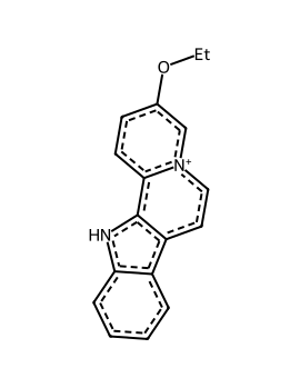 CCOc1ccc2c3[nH]c4ccccc4c3cc[n+]2c1